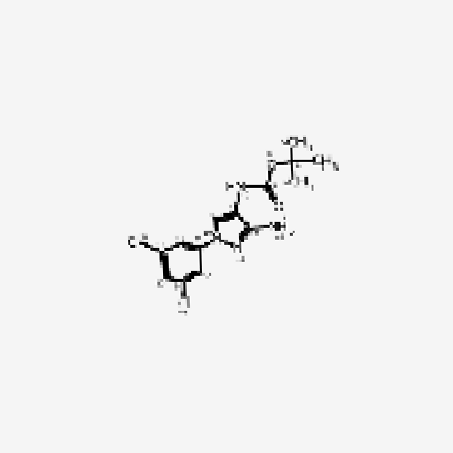 CC(C)(C)OC(=O)Nc1cn(-c2cc(Cl)cc(Cl)c2)nc1N